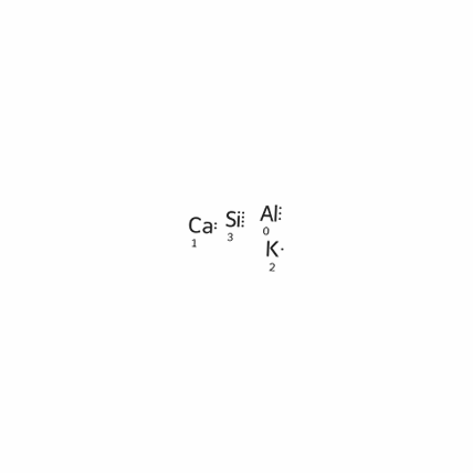 [Al].[Ca].[K].[Si]